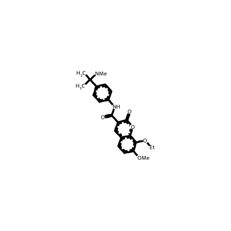 CCOc1c(OC)ccc2cc(C(=O)Nc3ccc(C(C)(C)NC)cc3)c(=O)oc12